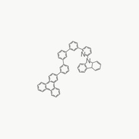 C1=CC2c3ccccc3N(c3cccc(-c4cccc(-c5cccc(-c6cccc(-c7ccc8c9ccccc9c9ccccc9c8c7)c6)c5)c4)n3)C2C=C1